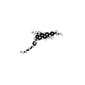 C=C(C)[C@@H]1CC[C@]2(NC(=O)N3CCC(OCCOCCOC)CC3)CC[C@]3(C)[C@H](CCC4[C@@]5(C)CC=C(c6ccc(C(=O)OC)cc6)C(C)(C)[C@@H]5CC[C@]43C)C12